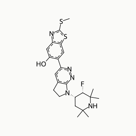 CSc1nc2cc(O)c(-c3cc4c(nn3)N([C@H]3CC(C)(C)NC(C)(C)[C@H]3F)CC4)cc2s1